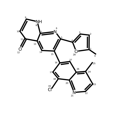 Cc1ccc(-c2nc3[nH]ccc(=O)c3cc2-c2cc(Cl)c3nccc(C)c3c2)o1